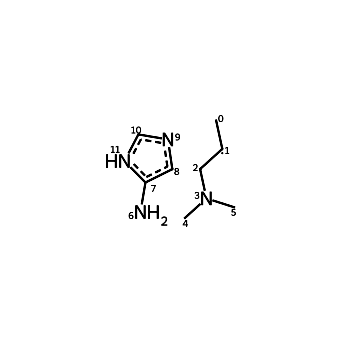 C[CH]CN(C)C.Nc1cnc[nH]1